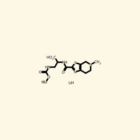 CN1CCc2nc(C(=O)NC(CNC(=O)OC(C)(C)C)C(=O)O)sc2C1.[LiH]